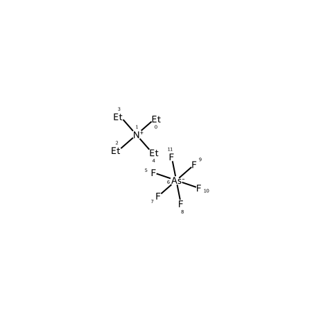 CC[N+](CC)(CC)CC.F[As-](F)(F)(F)(F)F